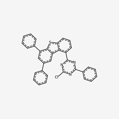 Clc1nc(-c2ccccc2)nc(-c2cccc3sc4c(-c5ccccc5)cc(-c5ccccc5)cc4c23)n1